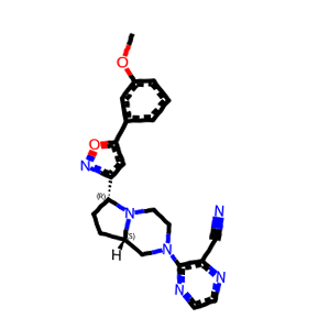 COc1cccc(-c2cc([C@H]3CC[C@H]4CN(c5nccnc5C#N)CCN43)no2)c1